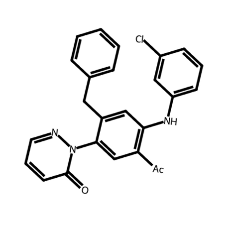 CC(=O)c1cc(-n2ncccc2=O)c(Cc2ccccc2)cc1Nc1cccc(Cl)c1